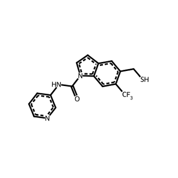 O=C(Nc1cccnc1)n1ccc2cc(CS)c(C(F)(F)F)cc21